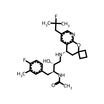 CC(=O)N[C@@H](Cc1ccc(F)c(C)c1)[C@H](O)CN[C@H]1CC2(CCC2)Oc2ncc(CC(C)(C)F)cc21